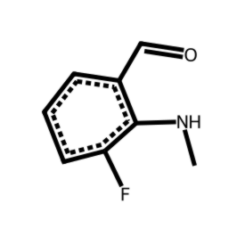 CNc1c(F)cccc1C=O